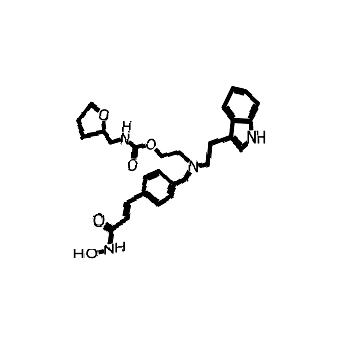 O=C(/C=C/c1ccc(CN(CCOC(=O)NCC2CCCO2)CCc2c[nH]c3ccccc23)cc1)NO